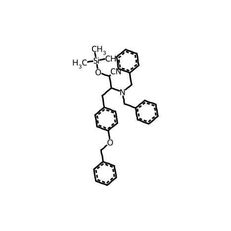 C[Si](C)(C)OC(C#N)C(Cc1ccc(OCc2ccccc2)cc1)N(Cc1ccccc1)Cc1ccccc1